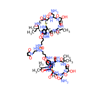 CCC(C)[C@@H]1NC(=O)[C@@H]2C[C@@H](O)CN2C(=O)C(CC(N)=O)NC(=O)[C@@H]2CSc3[nH]c4ccc(NC(=O)CCCNP(=O)(NCCCC(=O)Nc5ccc6[nH]c7c(c6c5)C[C@@H]5NC(=O)[C@H](C(C)CC)NC(=O)[C@@H]6C[C@@H](O)CN6C(=O)[C@H](CC(N)=O)NC(=O)[C@H](CS7)NC(=O)CNC(=O)[C@H]([C@@H](C)CC)CNC(=O)CNC5=O)NCCCN5C(=O)C=CC5=O)cc4c3C[C@H](NC1=O)C(=O)NCC(=O)NC[C@@H]([C@@H](C)CC)C(=O)NCC(=O)N2